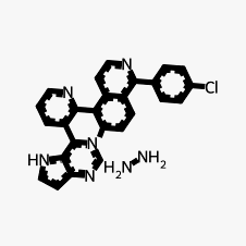 Cc1ccc2c(-c3ccc(Cl)cc3)nccc2c1-c1ncccc1-c1ncnc2cc[nH]c12.NN